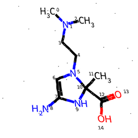 CN(C)CCN1C=C(N)NC1(C)C(=O)O